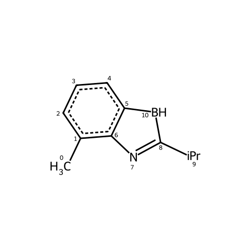 Cc1cccc2c1N=C(C(C)C)B2